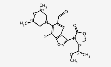 CO[C@H](C)[C@H]1COC(=O)N1c1noc2c(F)c(N3C[C@@H](C)O[C@H](C)C3)c(C=O)cc12